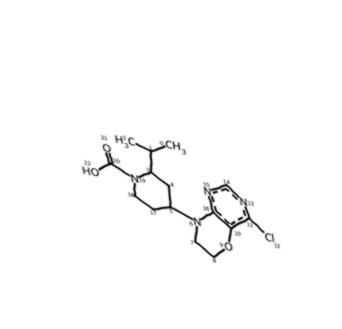 CC(C)C1CC(N2CCOc3c(Cl)ncnc32)CCN1C(=O)O